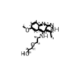 COc1ccc2nc3n[nH]c(C)c3c(NCCOCCO)c2c1